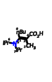 CCCC/C(=C(/C)C(=O)O)N(C(C)C)C(C)C